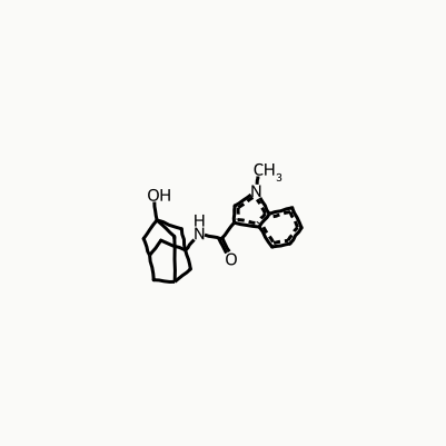 Cn1cc(C(=O)NC23CC4CC(CC(O)(C4)C2)C3)c2ccccc21